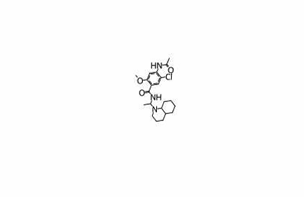 COc1cc(NC(C)=O)c(Cl)cc1C(=O)NC(C)N1CCCC2CCCCC21